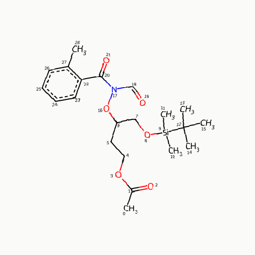 CC(=O)OCCC(CO[Si](C)(C)C(C)(C)C)ON(C=O)C(=O)c1ccccc1C